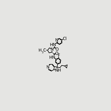 C[C@@H]1C[C@H](C(=O)Nc2cc(C3(CCC4CC4)NC4C=CN=CC=C43)ccc2F)N(C(=O)Nc2ccc(Cl)cn2)C1